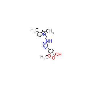 COc1cc(-c2cc(NCCn3c(C)cc4c(C)cccc43)ncn2)ccc1C(=O)O